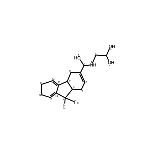 OC(O)CNC(O)C1=CCC2C(C1)C1=CCCC=C1C2(F)F